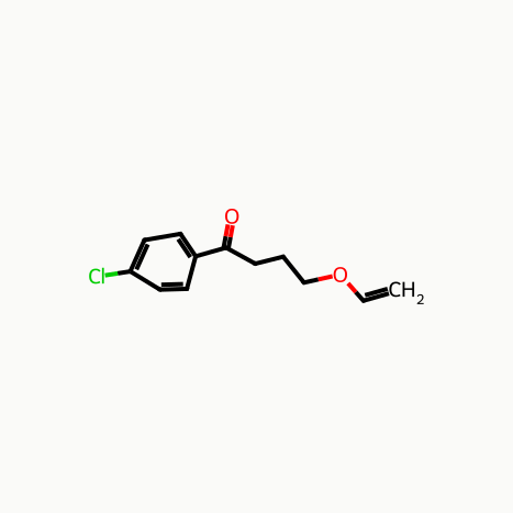 C=COCCCC(=O)c1ccc(Cl)cc1